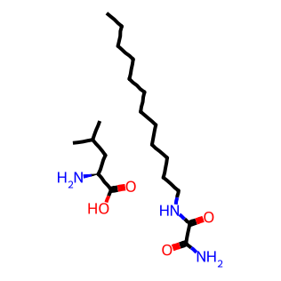 CC(C)C[C@H](N)C(=O)O.CCCCCCCCCCCCNC(=O)C(N)=O